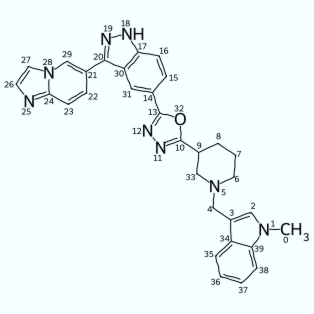 Cn1cc(CN2CCCC(c3nnc(-c4ccc5[nH]nc(-c6ccc7nccn7c6)c5c4)o3)C2)c2ccccc21